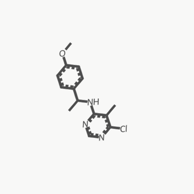 COc1ccc(C(C)Nc2ncnc(Cl)c2C)cc1